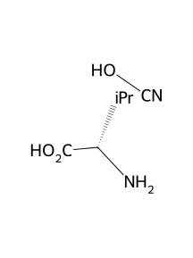 CC(C)[C@H](N)C(=O)O.N#CO